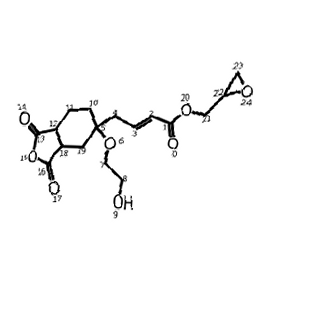 O=C(C=CCC1(OCCO)CCC2C(=O)OC(=O)C2C1)OCC1CO1